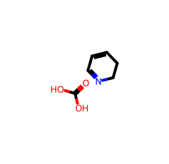 C1=CCCN=C1.O=C(O)O